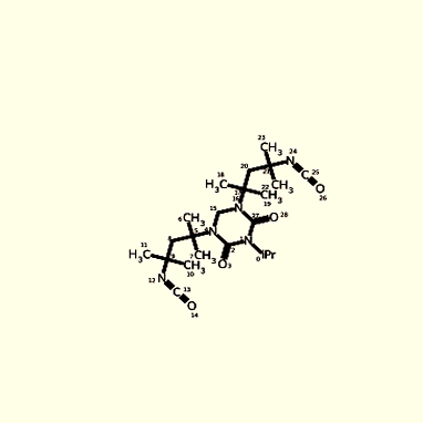 CC(C)N1C(=O)N(C(C)(C)CC(C)(C)N=C=O)CN(C(C)(C)CC(C)(C)N=C=O)C1=O